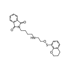 O=C1c2ccccc2C(=O)N1CCCCNCCOSc1cccc2c1OCCC2